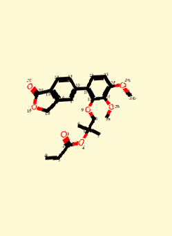 CCC(=O)OC(C)(C)COc1c(-c2ccc3c(c2)COC3=O)ccc(OC)c1OC